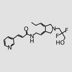 CC/C=C1/CN(CC(F)(F)CO)C/C1=C/CNC(=O)/C=C/c1cccnc1